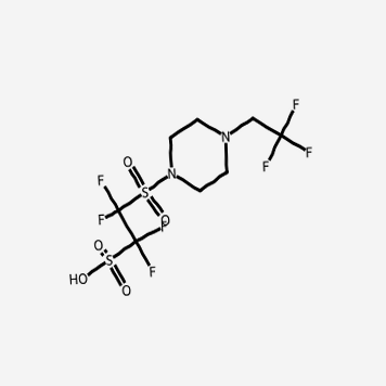 O=S(=O)(O)C(F)(F)C(F)(F)S(=O)(=O)N1CCN(CC(F)(F)F)CC1